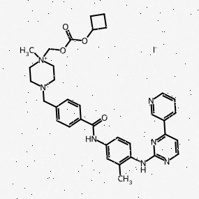 Cc1cc(NC(=O)c2ccc(CN3CC[N+](C)(COC(=O)OC4CCC4)CC3)cc2)ccc1Nc1nccc(-c2cccnc2)n1.[I-]